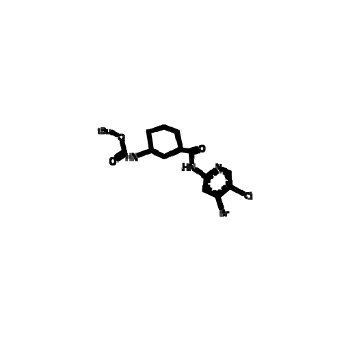 CC(C)(C)OC(=O)NC1CCCC(C(=O)Nc2cc(Br)c(Cl)cn2)C1